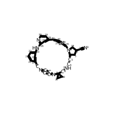 N#CC1CC2CCNCC3(CC3)N3CCN(CC3)Cc3cccc(c3)Nc3cc(ccn3)-c3cnc(nc3)N2C1